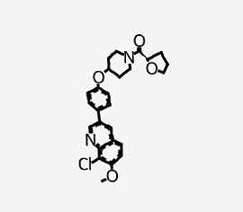 COc1ccc2cc(-c3ccc(OC4CCN(C(=O)[C@H]5CCCO5)CC4)cc3)cnc2c1Cl